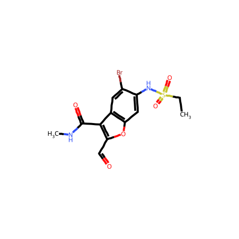 CCS(=O)(=O)Nc1cc2oc(C=O)c(C(=O)NC)c2cc1Br